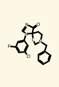 O=C1N=CN(c2cc(F)cc(Cl)c2)C12CCN(Cc1ccccc1)CC2